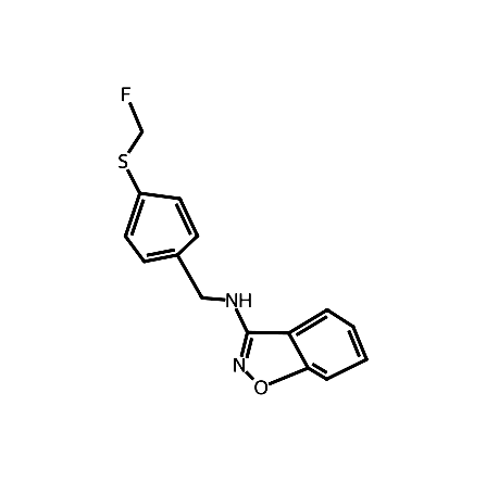 FCSc1ccc(CNc2noc3ccccc23)cc1